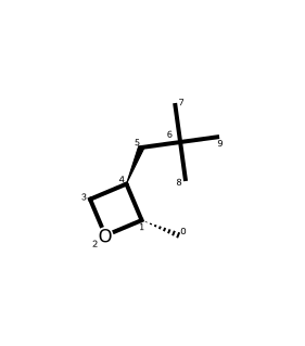 C[C@@H]1OC[C@H]1CC(C)(C)C